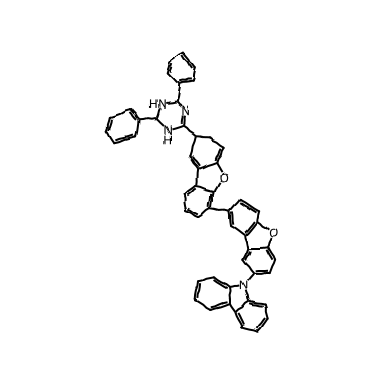 C1=c2oc3c(-c4ccc5oc6ccc(-n7c8ccccc8c8ccccc87)cc6c5c4)cccc3c2=CC(C2=NC(c3ccccc3)NC(c3ccccc3)N2)C1